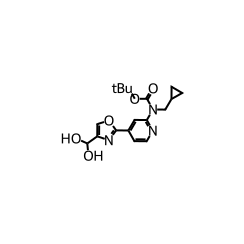 CC(C)(C)OC(=O)N(CC1CC1)c1cc(-c2nc(C(O)O)co2)ccn1